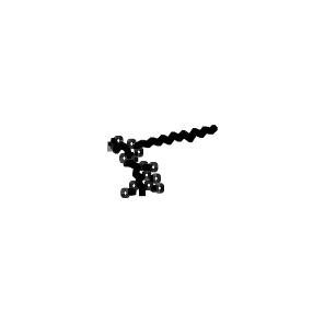 CCCCCCCCCCCCCCCC(=O)OC(c1cnco1)c1nc(C(CC(OC=O)C(OC=O)C(C)OC=O)OC=O)co1